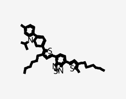 CCCCCCc1cc(-c2ccc(-c3cc(CCCCCC)c(C4=CC=C5c6ccc(C)cc6N(C(C)C)C5C4)s3)c3nsnc23)sc1C